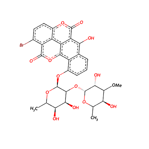 COC1[C@@H](O)C(C)O[C@H](OC2[C@H](Oc3cccc4c(O)c5c(=O)oc6ccc(Br)c7c(=O)oc(c34)c5c67)OC(C)[C@H](O)[C@@H]2O)[C@@H]1O